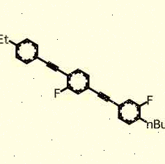 CCCCc1ccc(C#Cc2ccc(C#Cc3ccc(CC)cc3)c(F)c2)cc1F